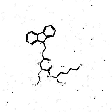 CC(C)(C)OC[C@H](NC(=O)OCC1c2ccccc2-c2ccccc21)C(=O)N[C@@H](CCCCN)C(=O)O